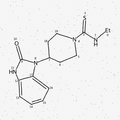 CCNC(=S)N1CCC(n2c(=O)[nH]c3ccccc32)CC1